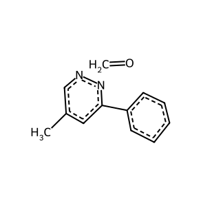 C=O.Cc1cnnc(-c2ccccc2)c1